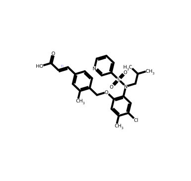 Cc1cc(OCc2ccc(/C=C/C(=O)O)cc2C)c(N(CC(C)C)S(=O)(=O)c2cccnc2)cc1Cl